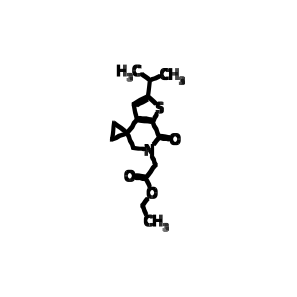 CCOC(=O)CN1CC2(CC2)c2cc(C(C)C)sc2C1=O